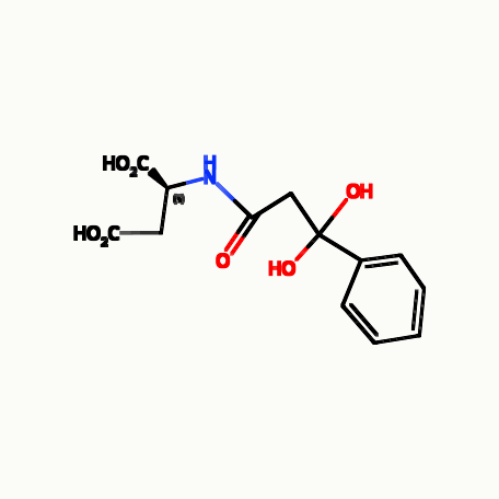 O=C(O)C[C@H](NC(=O)CC(O)(O)c1ccccc1)C(=O)O